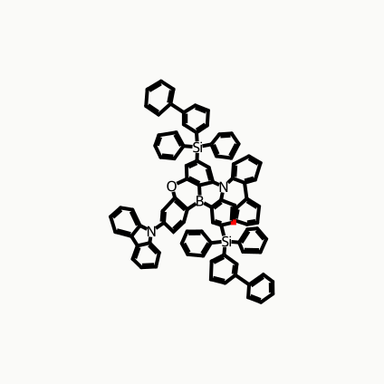 c1ccc(-c2cccc([Si](c3ccccc3)(c3ccccc3)c3ccc4c(c3)B3c5ccc(-n6c7ccccc7c7ccccc76)cc5Oc5cc([Si](c6ccccc6)(c6ccccc6)c6cccc(-c7ccccc7)c6)cc(c53)N4c3ccccc3-c3ccccc3)c2)cc1